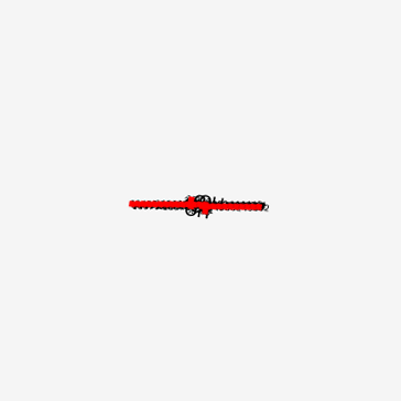 CCCCCCCCCCCCCCCCCCCCc1cccc(OC(=O)c2cccc(CCCCCCCCCCCCCCCCCCCC)c2O)c1O